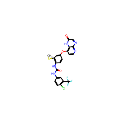 CSc1cc(Oc2ccnc3ncc(=O)[nH]c23)ccc1NC(=O)Nc1ccc(Cl)c(C(F)(F)F)c1